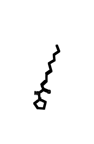 CCCCC/C=C/C=C/C(=O)NN1CCCC1